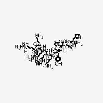 CC(C)[C@H](NC(=O)[C@@H](N)Cc1cccnc1)C(=O)N[C@H](C(=O)N1CCC[C@H]1C(=O)N[C@@H](Cc1ccc(O)cc1)C(=O)N[C@@H](CCCCN)C(=O)N[C@@H](CCCNC(=N)N)C(=O)N[C@@H](CCCNC(=N)N)C(=O)N[C@@H](CCCCN)C(=O)N[C@@H](CCCNC(=N)N)C(=O)O)[C@@H](C)O